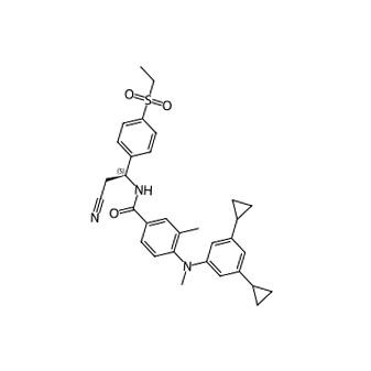 CCS(=O)(=O)c1ccc([C@H](CC#N)NC(=O)c2ccc(N(C)c3cc(C4CC4)cc(C4CC4)c3)c(C)c2)cc1